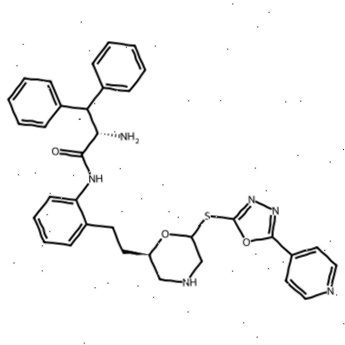 N[C@H](C(=O)Nc1ccccc1CC[C@@H]1CNCC(Sc2nnc(-c3ccncc3)o2)O1)C(c1ccccc1)c1ccccc1